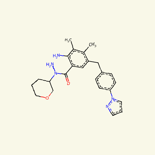 Cc1c(Cc2ccc(-n3cccn3)cc2)cc(C(=O)N(N)C2CCCOC2)c(N)c1C